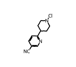 N#Cc1ccc(C2CCN(Cl)CC2)nc1